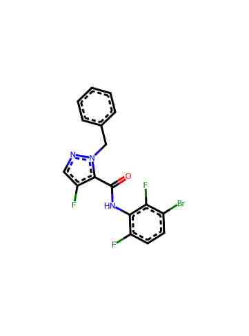 O=C(Nc1c(F)ccc(Br)c1F)c1c(F)cnn1Cc1ccccc1